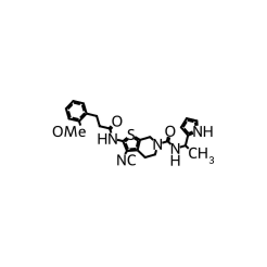 COc1ccccc1CCC(=O)Nc1sc2c(c1C#N)CCN(C(=O)NC(C)c1ccc[nH]1)C2